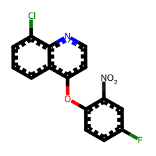 O=[N+]([O-])c1cc(F)ccc1Oc1ccnc2c(Cl)cccc12